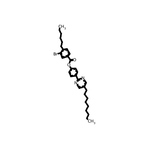 CCCCCCCCCc1cnc(-c2ccc(OC(=O)c3ccc(CCCCCC)c(Br)c3)cc2)nc1